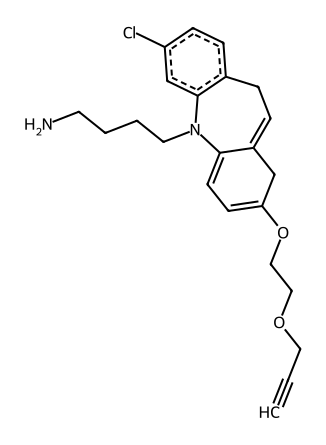 C#CCOCCOC1=CC=C2C(=CCc3ccc(Cl)cc3N2CCCCN)C1